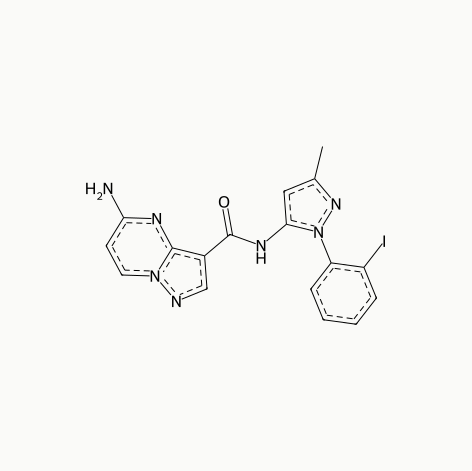 Cc1cc(NC(=O)c2cnn3ccc(N)nc23)n(-c2ccccc2I)n1